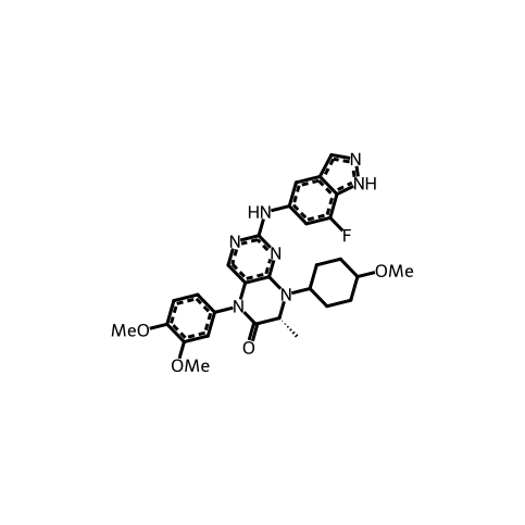 COc1ccc(N2C(=O)[C@@H](C)N(C3CCC(OC)CC3)c3nc(Nc4cc(F)c5[nH]ncc5c4)ncc32)cc1OC